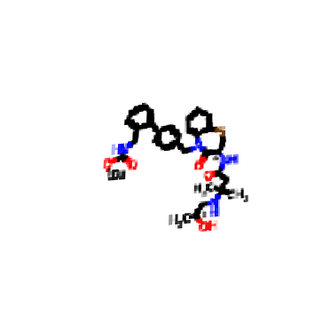 C[C@@H](O)CNC(C)(C)CC(=O)N[C@@H]1CSc2ccccc2N(Cc2ccc(-c3ccccc3CNC(=O)OC(C)(C)C)cc2)C1=O